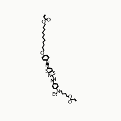 C=CC(=O)OCCCCCCCCCCCOc1ccc(/N=N/c2cc3sc(/N=N/c4ccc(N(CC)CCCCOC(=O)C=C)cc4)nc3s2)cc1